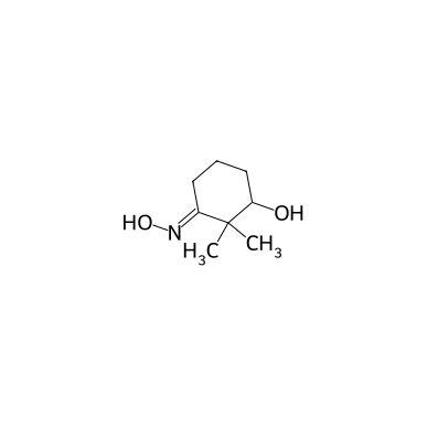 CC1(C)C(=NO)CCCC1O